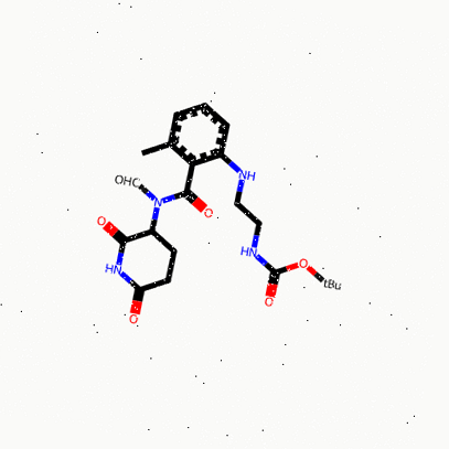 Cc1cccc(NCCNC(=O)OC(C)(C)C)c1C(=O)N(C=O)C1CCC(=O)NC1=O